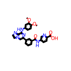 COc1ccc(Nc2nc(-c3cccc(C(=O)Nc4ccc(C(=O)O)nc4)c3)cn3ccnc23)cc1OC